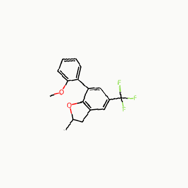 [CH2]C1Cc2cc(C(F)(F)F)cc(-c3ccccc3OC)c2O1